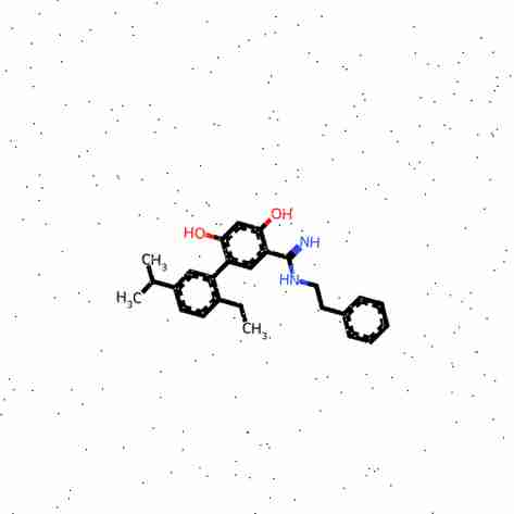 CCc1ccc(C(C)C)cc1-c1cc(C(=N)NCCc2ccccc2)c(O)cc1O